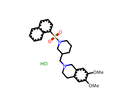 COc1cc2c(cc1OC)CN(CC1CCCN(S(=O)(=O)c3cccc4ccccc34)C1)CC2.Cl